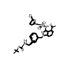 CC(=O)c1cccc2c1c(NS(=O)(=O)c1ccc(Cl)s1)nn2Cc1cccc(CNC(=O)OC(C)(C)C)c1